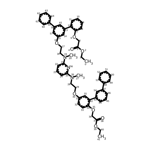 CCOC(=O)COc1ccccc1-c1cc(OCCN(C)c2cccc(N(C)CCOc3ccc(OCC(=O)OCC)c(-c4cccc(-c5ccccc5)c4)c3)n2)cc(-c2ccccc2)c1